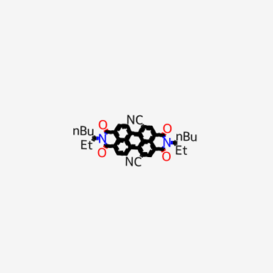 CCCCC(CC)N1C(=O)c2ccc3c4c(C#N)cc5c6c(cc(C#N)c(c7ccc(c2c37)C1=O)c64)C(=O)N(C(CC)CCCC)C5=O